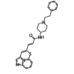 O=C(C=CC1=Cc2cnc3cccc(n23)S1)NC1CCN(CCc2ccccc2)CC1